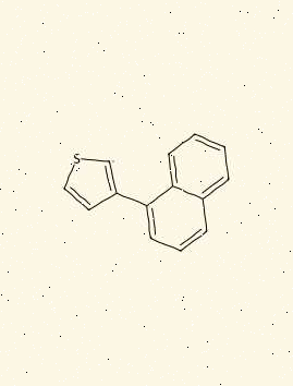 [c]1sccc1-c1cccc2ccccc12